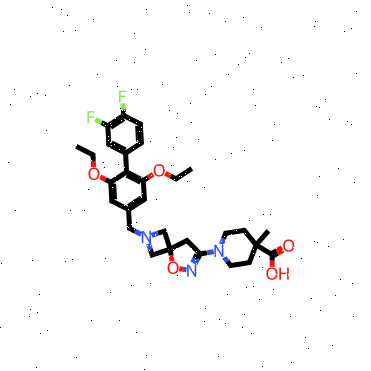 CCOc1cc(CN2CC3(CC(N4CCC(C)(C(=O)O)CC4)=NO3)C2)cc(OCC)c1-c1ccc(F)c(F)c1